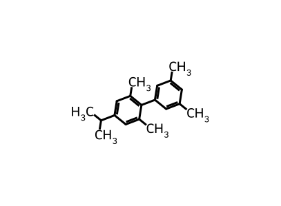 Cc1cc(C)cc(-c2c(C)cc(C(C)C)cc2C)c1